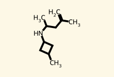 C=C(C)CC(C)NC1CC(C)C1